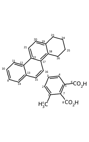 Cc1cccc(C(=O)O)c1C(=O)O.c1ccc2c(c1)ccc1c3c(ccc12)CCCC3